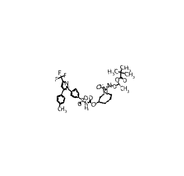 Cc1ccc(-c2cc(C(F)(F)F)nn2-c2ccc(S(=O)(=O)NC(=O)OC3CCCN(/[N+]([O-])=N\OC(C)OC(=O)C(C)(C)C)C3)cc2)cc1